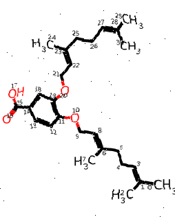 CC(C)=CCC/C(C)=C/COc1ccc(C(=O)O)cc1OC/C=C(\C)CCC=C(C)C